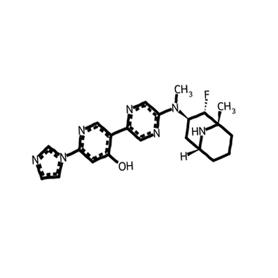 CN(c1cnc(-c2cnc(-n3ccnc3)cc2O)cn1)[C@@H]1C[C@H]2CCC[C@](C)(N2)[C@H]1F